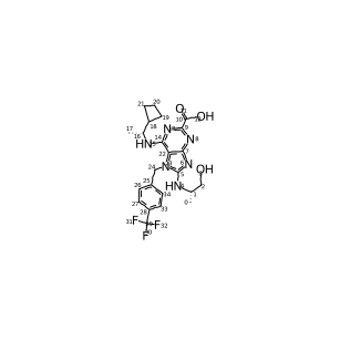 C[C@@H](CO)Nc1nc2nc(C(=O)O)nc(N[C@H](C)C3CCC3)c2n1Cc1ccc(C(F)(F)F)cc1